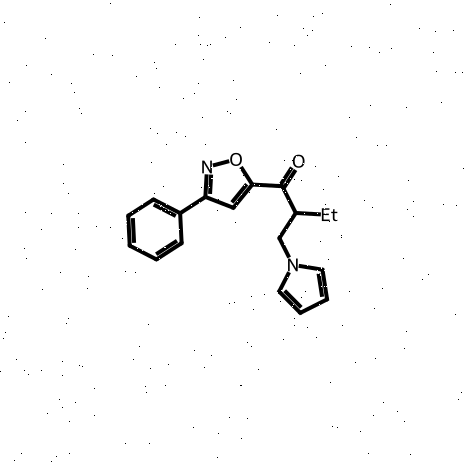 CCC(Cn1cccc1)C(=O)c1cc(-c2ccccc2)no1